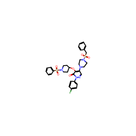 O=c1c(OC2CCN(S(=O)(=O)c3ccccc3)CC2)c(N2CCN(S(=O)(=O)Cc3ccccc3)CC2)cnn1-c1ccc(F)cc1